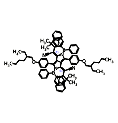 CCCCC(CC)COc1ccc(-c2c3/c(=C(\C#N)C4=Nc5ccccc5C4(C)C)n(B(c4ccccc4)c4ccccc4)c(-c4ccc(OCC(CC)CCCC)cc4)c3/c(=C(\C#N)C3=Nc4ccccc4C3(C)C)n2B(c2ccccc2)c2ccccc2)cc1